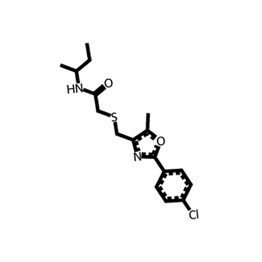 CCC(C)NC(=O)CSCc1nc(-c2ccc(Cl)cc2)oc1C